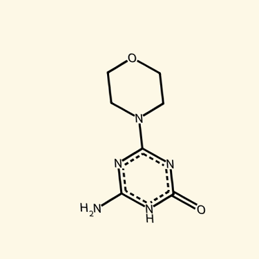 Nc1nc(N2CCOCC2)nc(=O)[nH]1